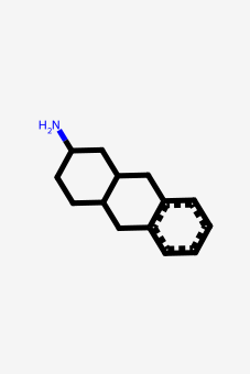 NC1CCC2Cc3ccccc3CC2C1